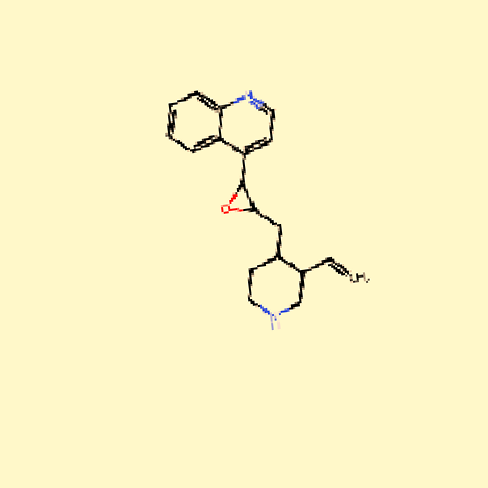 C=CC1CNCCC1CC1OC1c1ccnc2ccccc12